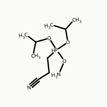 CC(C)O[PH](CCC#N)(ON)OC(C)C